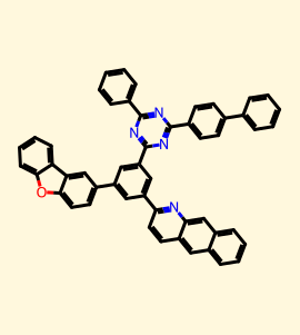 c1ccc(-c2ccc(-c3nc(-c4ccccc4)nc(-c4cc(-c5ccc6oc7ccccc7c6c5)cc(-c5ccc6cc7ccccc7cc6n5)c4)n3)cc2)cc1